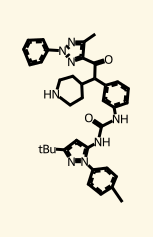 Cc1ccc(-n2nc(C(C)(C)C)cc2NC(=O)Nc2cccc(C(C(=O)c3nn(-c4ccccc4)nc3C)C3CCNCC3)c2)cc1